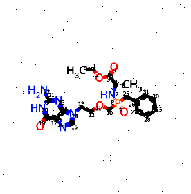 CCOC(=O)[C@H](C)NP(=O)(COCCn1cnc2c(=O)[nH]c(N)nc21)Cc1ccccc1